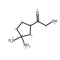 O=C(CO)C1CCC([N+](=O)[O-])([N+](=O)[O-])C1